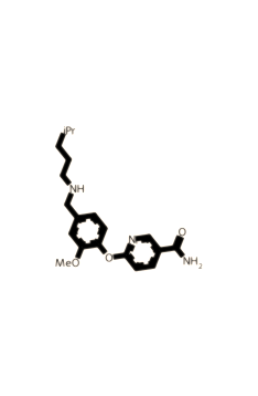 COc1cc(CNCCCC(C)C)ccc1Oc1ccc(C(N)=O)cn1